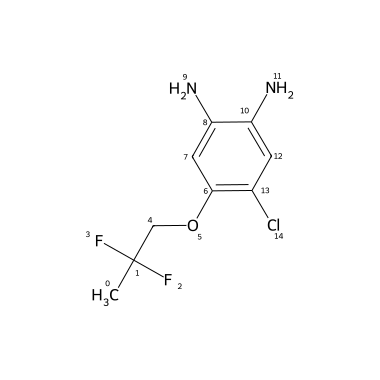 CC(F)(F)COc1cc(N)c(N)cc1Cl